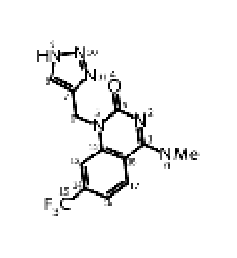 CNc1nc(=O)n(Cc2c[nH]nn2)c2cc(C(F)(F)F)ccc12